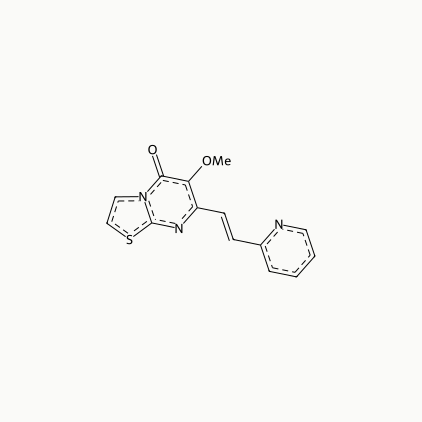 COc1c(/C=C/c2ccccn2)nc2sccn2c1=O